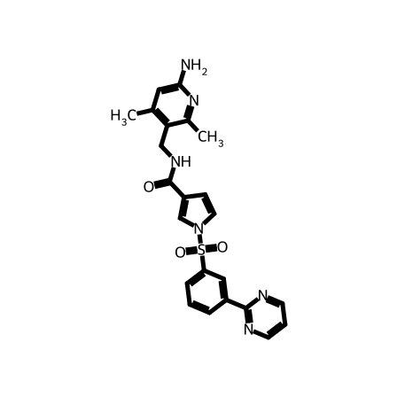 Cc1cc(N)nc(C)c1CNC(=O)c1ccn(S(=O)(=O)c2cccc(-c3ncccn3)c2)c1